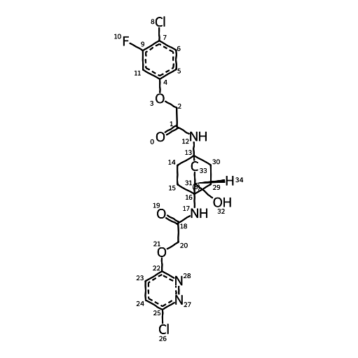 O=C(COc1ccc(Cl)c(F)c1)NC12CCC(NC(=O)COc3ccc(Cl)nn3)(CC1)[C@@H](O)C2